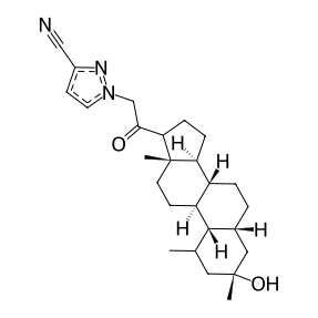 CC1C[C@@](C)(O)C[C@H]2CC[C@@H]3[C@H](CC[C@]4(C)C(C(=O)Cn5ccc(C#N)n5)CC[C@@H]34)[C@@H]12